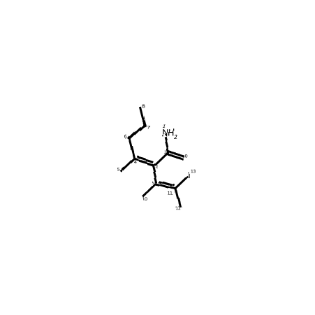 C=C(N)C(=C(/C)CCC)/C(C)=C(/C)I